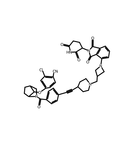 N#Cc1ccc(OC2C3CCC2N(C(=O)c2ccc(C#CC4CCN(CC5CN(c6cccc7c6C(=O)N(C6CCC(=O)NC6=O)C7=O)C5)CC4)cc2)C3)cc1Cl